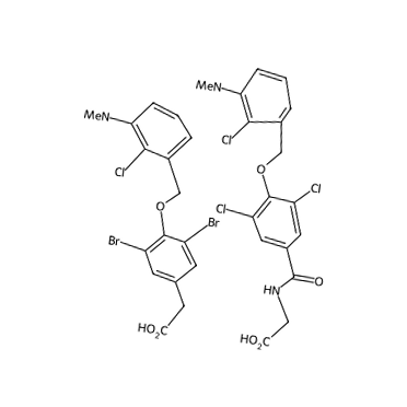 CNc1cccc(COc2c(Br)cc(CC(=O)O)cc2Br)c1Cl.CNc1cccc(COc2c(Cl)cc(C(=O)NCC(=O)O)cc2Cl)c1Cl